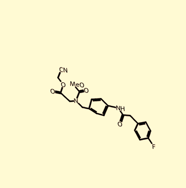 COC(=O)N(CC(=O)OCC#N)Cc1ccc(NC(=O)Cc2ccc(F)cc2)cc1